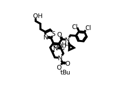 CC(C)(C)OC(=O)N1CC2CC(c3nc(CCCO)cs3)=C(C(=O)N(Cc3cccc(Cl)c3Cl)C3CC3)[C@@H](C1)N2C(=O)O